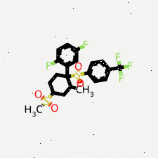 CC1CC(S(C)(=O)=O)CCC1(c1cc(F)ccc1F)S(=O)(=O)c1ccc(C(F)(F)F)cc1